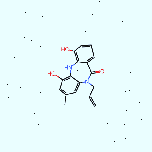 C=CCN1C(=O)c2cccc(O)c2Nc2c(O)cc(C)cc21